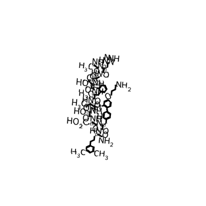 CCc1cc(OCCCCN)ccc1-c1ccc(C[C@H](NC(=O)[C@H](CC(=O)O)NC(=O)[C@H](CO)NC(=O)[C@@H](NC(=O)[C@](C)(Cc2ccccc2F)NC(=O)[C@@H](NC(=O)CNC(=O)[C@H](Cc2nn[nH]n2)NC(=O)[C@H](C)N)[C@@H](C)O)[C@@H](C)O)C(=O)N[C@@H](CCCc2cc(C)cc(C)c2)C(N)=O)cc1